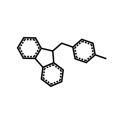 Cc1ccc(CC2c3ccccc3-c3ccccc32)cc1